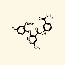 COc1cc(F)ccc1Oc1nnc(C(F)(F)F)cc1C(=O)Nc1cccc(C(N)=O)c1